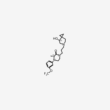 C[C@H]1C(=O)N(CCCN2CCC3(CC3)[C@H](O)C2)CCN1c1cccc(OC(F)(F)F)c1